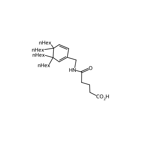 CCCCCCC1(CCCCCC)C=CC(CNC(=O)CCCC(=O)O)=CC1(CCCCCC)CCCCCC